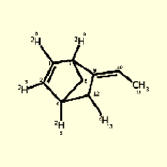 [2H]C1=C([2H])C2([2H])CC1([2H])C(=CC)C2[2H]